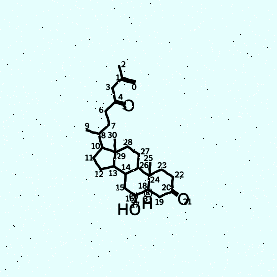 C=C(C)CC(=O)CCC(C)C1CCC2C3C[C@H](O)[C@@H]4CC(=O)CCC4(C)C3CCC12C